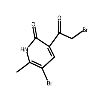 Cc1[nH]c(=O)c(C(=O)CBr)cc1Br